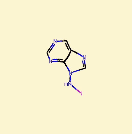 INn1cnc2cncnc21